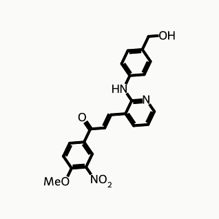 COc1ccc(C(=O)/C=C/c2cccnc2Nc2ccc(CO)cc2)cc1[N+](=O)[O-]